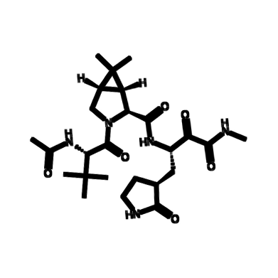 CNC(=O)C(=O)[C@H](C[C@@H]1CCNC1=O)NC(=O)[C@@H]1[C@@H]2[C@H](CN1C(=O)[C@@H](NC(C)=O)C(C)(C)C)C2(C)C